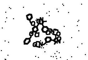 Cc1noc(-c2cc(Cl)c(OCc3ccccc3)cc2OCc2ccccc2)c1-c1cccc(C[N+]2(Cl)CCOC(c3onc(C)c3-c3cccc(CN4CCOCC4)c3)C2)c1